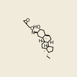 CC[C@H]1CC[C@H]2[C@@H]3CC=C4C[C@@H](O)C(=NOCC5CO5)C[C@]4(C)[C@H]3CC[C@]12C